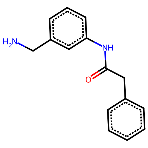 NCc1cccc(NC(=O)Cc2ccccc2)c1